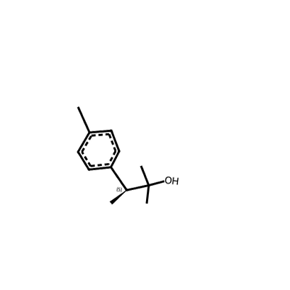 Cc1ccc([C@H](C)C(C)(C)O)cc1